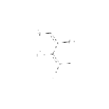 CC/C(O)=C(CC)/C(F)=C\N